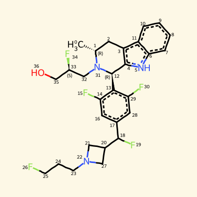 C[C@@H]1Cc2c([nH]c3ccccc23)[C@@H](c2c(F)cc(C(F)C3CN(CCCF)C3)cc2F)N1C[C@H](F)CO